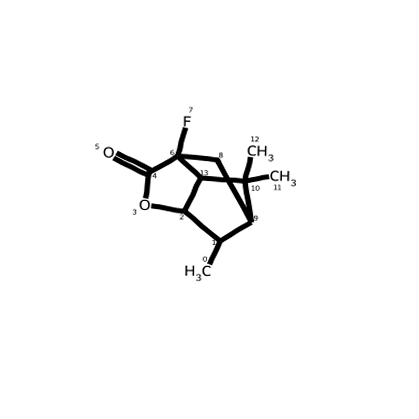 CC1C2OC(=O)C3(F)CC1C(C)(C)C23